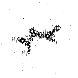 CCCCc1cc(NC(=O)Nc2ccc(Oc3ccnc(Nc4ccc(OC)c(C(=O)NCCN5CCOCC5)c4)n3)c3ccccc23)n(-c2ccc(C)cc2)n1